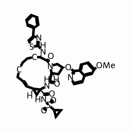 COc1ccc2c(O[C@@H]3C[C@H]4C(=O)N[C@]5(C(=O)NS(=O)(=O)C6CC6)C[C@H]5/C=C\CCCCC[C@H](Nc5nc(-c6ccccc6)cs5)C(=O)N4C3)nccc2c1